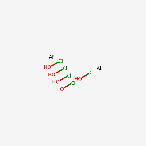 OCl.OCl.OCl.OCl.OCl.[Al].[Al]